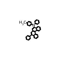 Cc1ccc(N(c2ccccc2)c2cc3cc(-c4ccccc4)c4ccccc4c3c3ccccc23)cc1